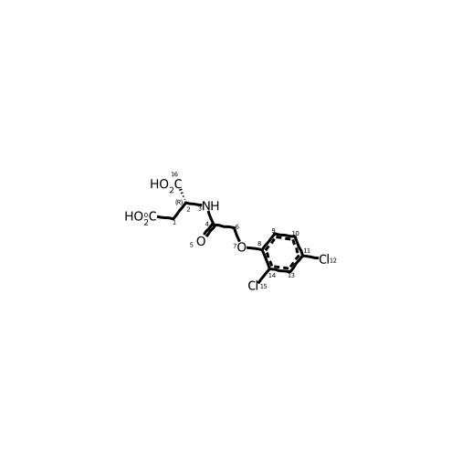 O=C(O)C[C@@H](NC(=O)COc1ccc(Cl)cc1Cl)C(=O)O